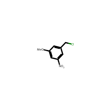 COc1cc(CCl)cc([N+](=O)[O-])c1